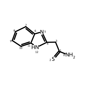 NC(=S)Cc1nc2ccccc2[nH]1